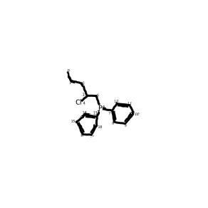 CCCC(Cl)CP(c1ccccc1)c1ccccc1